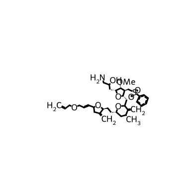 C=CCOC/C=C/C1CC(=C)[C@H](CC[C@H]2C[C@@H](C)C(=C)C(C[C@@H]3O[C@H](CC(O)CN)[C@H](OC)[C@H]3CS(=O)(=O)c3ccccc3)O2)O1